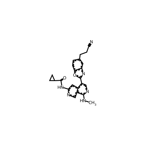 CNc1ncc(-c2nc3cc(CCC#N)ccc3o2)c2cc(NC(=O)C3CC3)ncc12